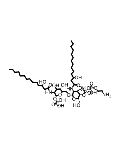 CCCCCCCCCCC[C@@H](O)CC(=O)NC1C(O)[C@H](O)C(CO[C@@H]2O[C@@H](CO)[C@@H](OP(=O)(O)OP(=O)(O)OCCN)C(O)C2NC(=O)C[C@H](O)CCCCCCCCCCC)O[C@@H]1OP(=O)(O)O